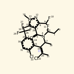 CCC(C)N(C(=O)c1c(C(F)F)nn(C)c1F)C(C)/C(=C(\C)Cl)c1cc(C(F)(F)F)ccc1Cl